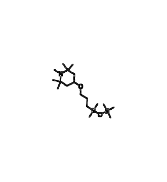 CN1C(C)(C)CC(OCCC[Si](C)(C)O[Si](C)(C)C)CC1(C)C